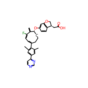 C=C1/C(F)=C\C=C(\c2c(C)cc(-c3ccncn3)cc2C)CCC[C@H]1Oc1ccc2c(c1)OC[C@H]2CC(=O)O